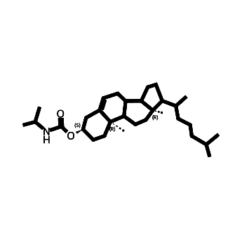 CC(C)CCCC(C)C1CCC2C3CC=C4C[C@@H](OC(=O)NC(C)C)CC[C@]4(C)C3CC[C@]12C